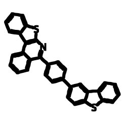 c1ccc2c(c1)sc1ccc(-c3ccc(-c4nc5sc6ccccc6c5c5ccccc45)cc3)cc12